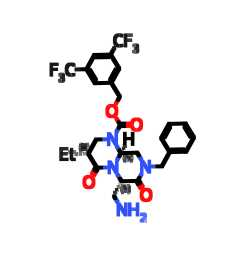 CC[C@@H]1CN(C(=O)OCc2cc(C(F)(F)F)cc(C(F)(F)F)c2)[C@H]2CN(Cc3ccccc3)C(=O)[C@H](CN)N2C1=O